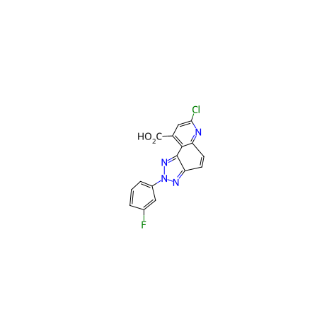 O=C(O)c1cc(Cl)nc2ccc3nn(-c4cccc(F)c4)nc3c12